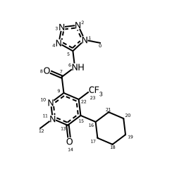 Cn1nnnc1NC(=O)c1nn(C)c(=O)c(C2CCCCC2)c1C(F)(F)F